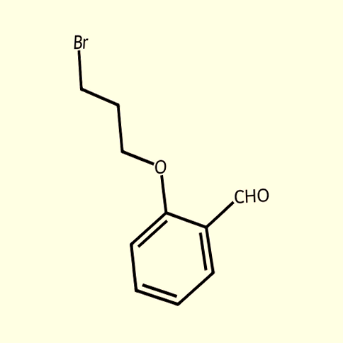 O=Cc1ccccc1OCCCBr